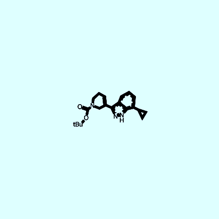 CC(C)(C)OC(=O)N1CCC=C(c2n[nH]c3c(C4CC4)cccc23)C1